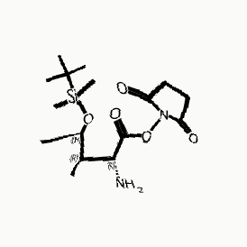 C[C@@H]([C@@H](C)O[Si](C)(C)C(C)(C)C)[C@@H](N)C(=O)ON1C(=O)CCC1=O